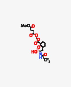 COC(=O)CCC(=O)OCOC(=O)c1cccc2c1OB(O)[C@@H](NC(=O)CC(F)(F)F)C2